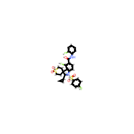 O=C(Nc1ccccc1F)c1ccc2c(c1F)C1(CCS(=O)(=O)CC1)C(C1CC1)N2S(=O)(=O)c1ccc(F)cc1